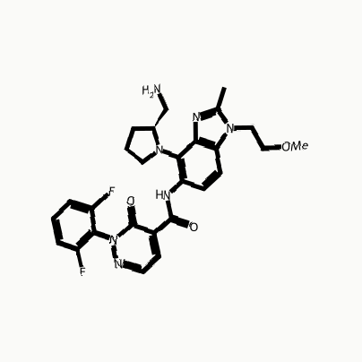 COCCn1c(C)nc2c(N3CCC[C@H]3CN)c(NC(=O)c3ccnn(-c4c(F)cccc4F)c3=O)ccc21